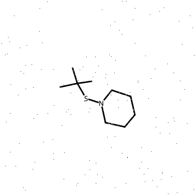 CC(C)(C)SN1CCCCC1